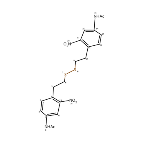 CC(=O)Nc1ccc(CCSSCCc2ccc(NC(C)=O)cc2[N+](=O)[O-])c([N+](=O)[O-])c1